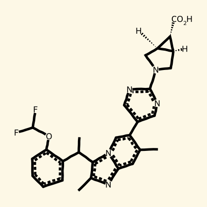 Cc1cc2nc(C)c(C(C)c3ccccc3OC(F)F)n2cc1-c1cnc(N2C[C@@H]3[C@H](C2)[C@H]3C(=O)O)nc1